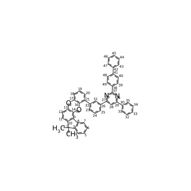 CC1(C)c2ccccc2-c2c1ccc1c2Oc2c(cccc2-c2cccc(-c3cc(-c4ccccc4)nc(-c4ccc(-c5ccccc5)cc4)n3)c2)O1